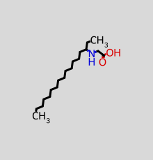 CCCCCCCCCCCCCCC(CC)NCC(=O)O